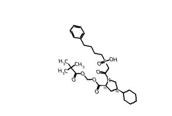 CC(C)(C)C(=O)OCOC(=O)[C@@H]1C[C@H](C2CCCCC2)CN1C(=O)CP(=O)(O)CCCCc1ccccc1